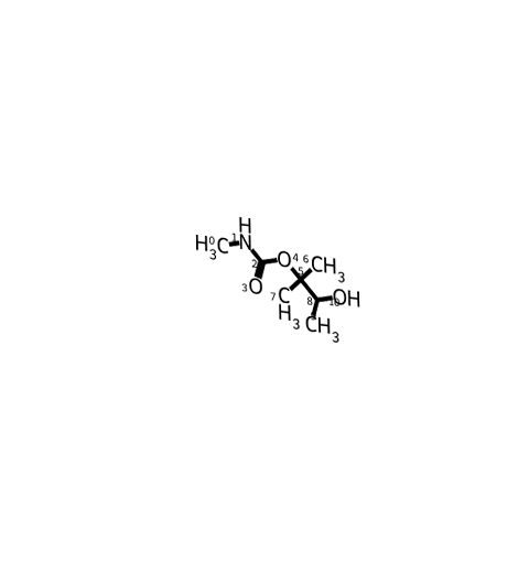 CNC(=O)OC(C)(C)C(C)O